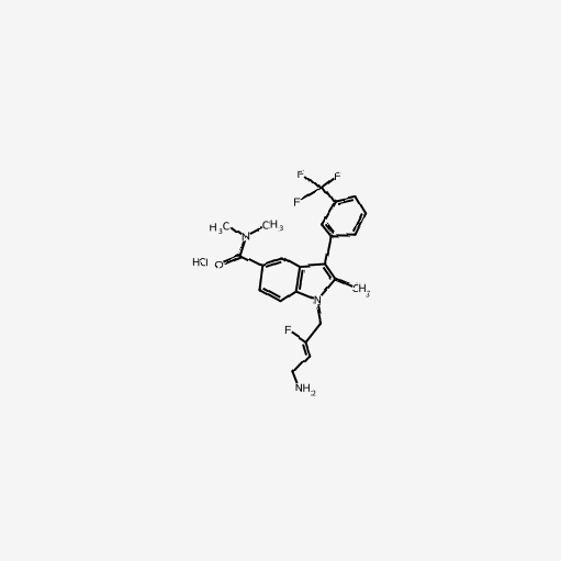 Cc1c(-c2cccc(C(F)(F)F)c2)c2cc(C(=O)N(C)C)ccc2n1C/C(F)=C/CN.Cl